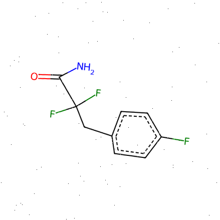 NC(=O)C(F)(F)Cc1ccc(F)cc1